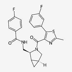 Cc1nc(C(=O)N2C[C@H]3CC3[C@H]2CNC(=O)c2ccc(F)cc2)c(-c2cccc(F)c2)s1